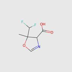 CC1(C(F)F)OC=NC1C(=O)O